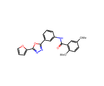 COc1ccc(OC)c(C(=O)Nc2cccc(-c3nnc(-c4ccco4)o3)c2)c1